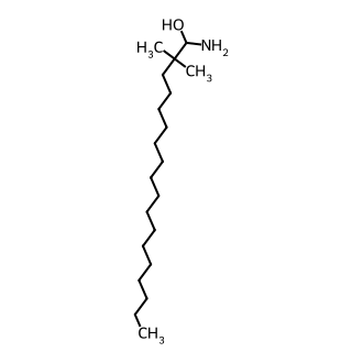 CCCCCCCCCCCCCCCCC(C)(C)C(N)O